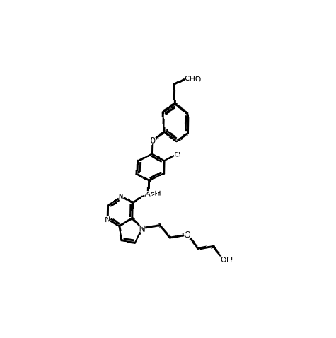 O=CCc1cccc(Oc2ccc([AsH]c3ncnc4ccn(CCOCCO)c34)cc2Cl)c1